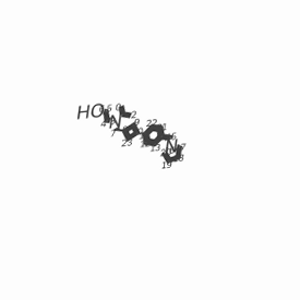 CC(C)N(CCO)C[C@H]1C[C@H](c2ccc(CN3CCCC3)cc2)C1